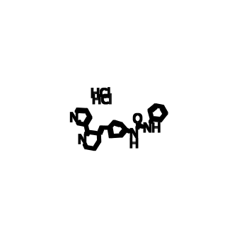 Cl.Cl.O=C(Nc1ccccc1)Nc1ccc(/C=C2\CCCN=C2c2cccnc2)cc1